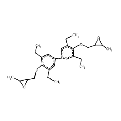 CCc1cc(-c2cc(CC)c(OCC3OC3C)c(CC)c2)cc(CC)c1OCC1OC1C